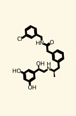 C[C@H](Cc1cccc(CC(=O)NCc2cccc(Cl)c2)c1)NC[C@H](O)c1cc(O)cc(O)c1